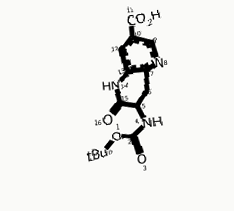 CC(C)(C)OC(=O)NC1Cc2ncc(C(=O)O)cc2NC1=O